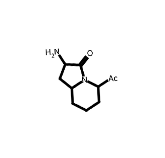 CC(=O)C1CCCC2CC(N)C(=O)N21